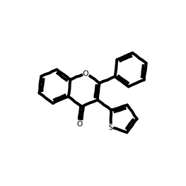 O=c1c(-c2cccs2)c(-c2ccccc2)oc2ccccc12